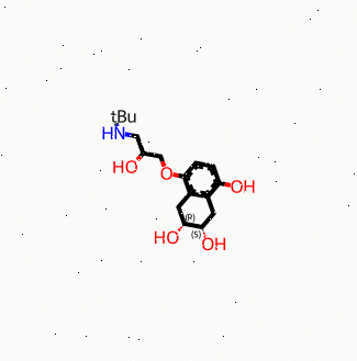 CC(C)(C)NCC(O)COc1ccc(O)c2c1C[C@@H](O)[C@@H](O)C2